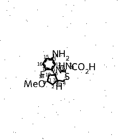 CO[C@H]1C[C@H]2CSC(NC(=O)O)=N[C@@]2(c2cc(N)ccc2F)C1